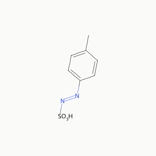 Cc1ccc(N=NS(=O)(=O)O)cc1